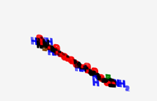 Nc1ccc(OCCOCCNC(=O)CCCC(=O)NCCCOCCOCCOCCCNC(=O)CCCC[C@@H]2SC[C@@H]3NC(=O)N[C@@H]32)c(F)c1